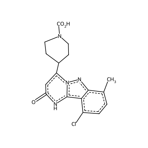 Cc1ccc(Cl)c2c1nn1c(C3CCN(C(=O)O)CC3)cc(=O)[nH]c21